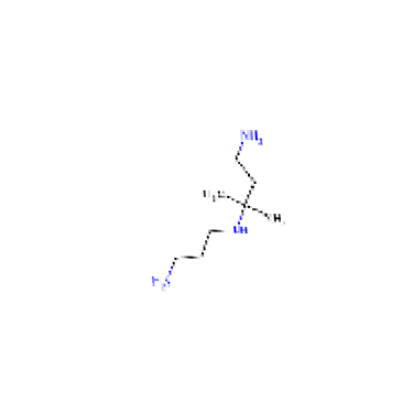 CC(C)(CCN)NCCCN